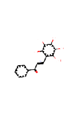 O=C(/C=C/c1c(O)c(O)c(O)c(O)c1O)c1ccccc1